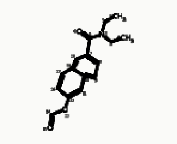 CCN(CC)C(=O)c1ccc2cc(OC=O)ccc2c1